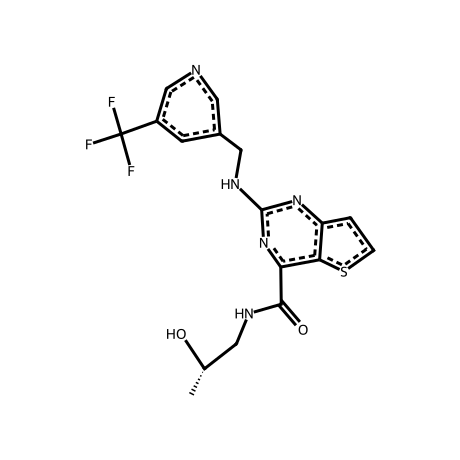 C[C@H](O)CNC(=O)c1nc(NCc2cncc(C(F)(F)F)c2)nc2ccsc12